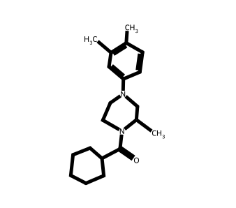 Cc1ccc(N2CCN(C(=O)C3CCCCC3)C(C)C2)cc1C